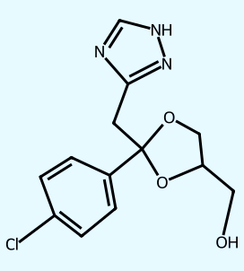 OCC1COC(Cc2nc[nH]n2)(c2ccc(Cl)cc2)O1